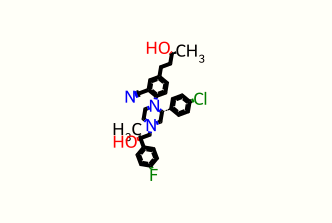 C[C@H](O)CCc1ccc(N2CCN(C[C@@](C)(O)c3ccc(F)cc3)C[C@H]2c2ccc(Cl)cc2)c(C#N)c1